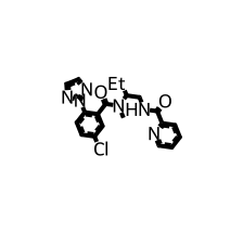 CCC(CNC(=O)c1ccccn1)N(C)C(=O)c1cc(Cl)ccc1-n1nccn1